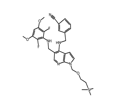 COc1cc(OC)c(F)c(NCc2cnc3c(ccn3COCC[Si](C)(C)C)c2NCc2cccc(C#N)c2)c1F